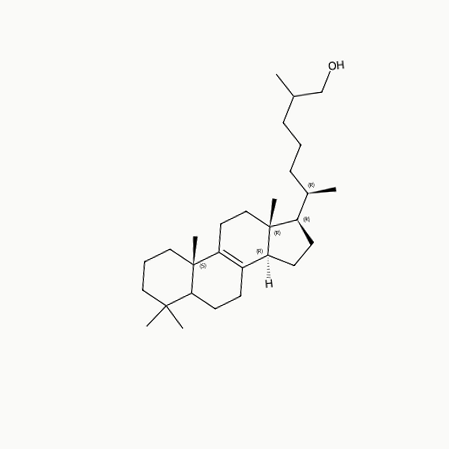 CC(CO)CCC[C@@H](C)[C@H]1CC[C@H]2C3=C(CC[C@]12C)[C@@]1(C)CCCC(C)(C)C1CC3